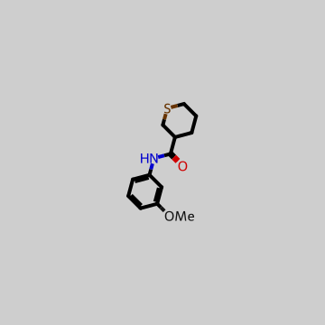 COc1cccc(NC(=O)C2CCCSC2)c1